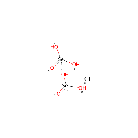 O=[Se](O)O.O=[Se](O)O.[KH]